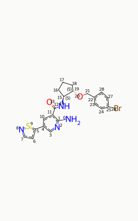 Nc1ncc(-c2ccns2)cc1C(=O)N[C@H]1CCC[C@@H]1OCc1ccc(Br)cc1